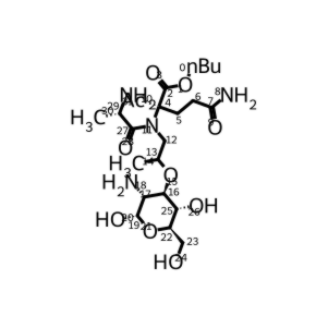 CCCCOC(=O)[C@](CCC(N)=O)(C(C)=O)N(CC(C)O[C@@H]1[C@@H](N)[C@@H](O)O[C@H](CO)[C@H]1O)C(=O)[C@H](C)N